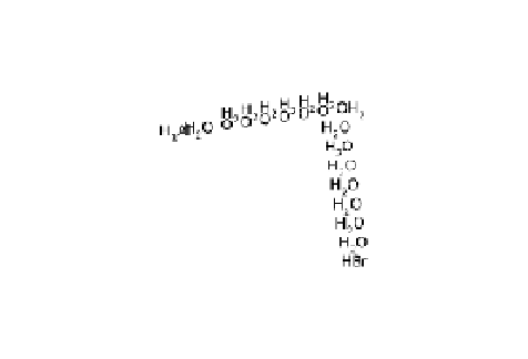 Br.O.O.O.O.O.O.O.O.O.O.O.O.O.O.O.[AlH3]